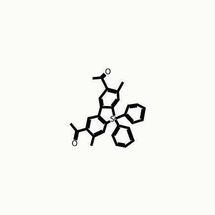 CC(=O)c1cc2c(cc1C)[Si](c1ccccc1)(c1ccccc1)c1cc(C)c(C(C)=O)cc1-2